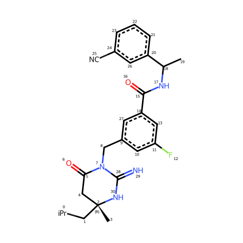 CC(C)C[C@]1(C)CC(=O)N(Cc2cc(F)cc(C(=O)NC(C)c3cccc(C#N)c3)c2)C(=N)N1